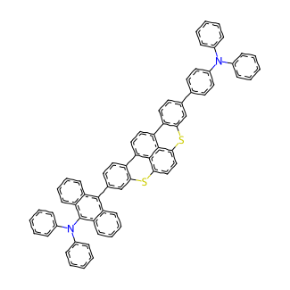 c1ccc(N(c2ccccc2)c2ccc(-c3ccc4c(c3)Sc3ccc5c6c(ccc-4c36)-c3ccc(-c4c6ccccc6c(N(c6ccccc6)c6ccccc6)c6ccccc46)cc3S5)cc2)cc1